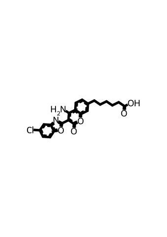 Nc1c(-c2nc3cc(Cl)ccc3o2)c(=O)oc2cc(CCCCCC(=O)O)ccc12